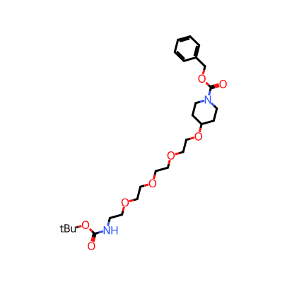 CC(C)(C)OC(=O)NCCOCCOCCOCCOC1CCN(C(=O)OCc2ccccc2)CC1